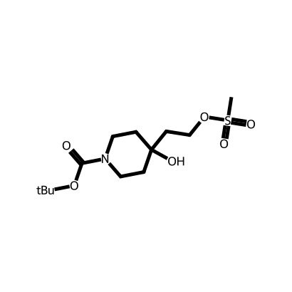 CC(C)(C)OC(=O)N1CCC(O)(CCOS(C)(=O)=O)CC1